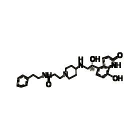 O=C(CCN1CCC(NC[C@H](O)c2ccc(O)c3[nH]c(=O)ccc23)CC1)NCCc1ccccc1